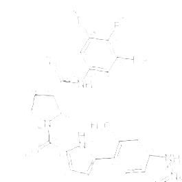 Cc1cc2[nH]ncc2cc1-c1ccc(C(=O)N2CC[C@H](C(=O)Nc3cc(F)c(F)c(F)c3)C2)[nH]1